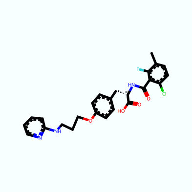 Cc1ccc(Cl)c(C(=O)N[C@@H](Cc2ccc(OCCCNc3ccccn3)cc2)C(=O)O)c1F